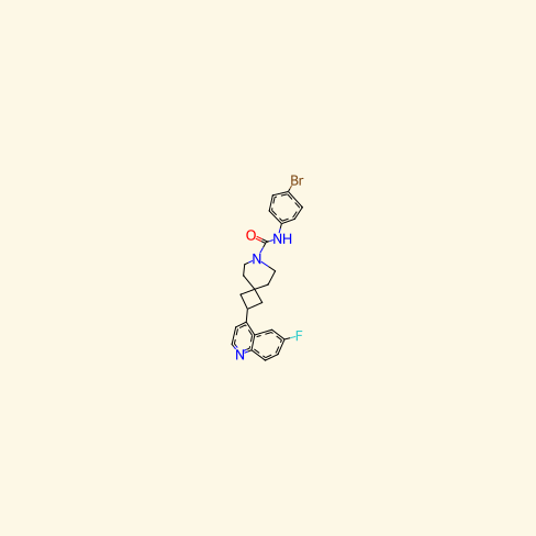 O=C(Nc1ccc(Br)cc1)N1CCC2(CC1)CC(c1ccnc3ccc(F)cc13)C2